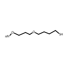 CCCOCCCOCCCCS